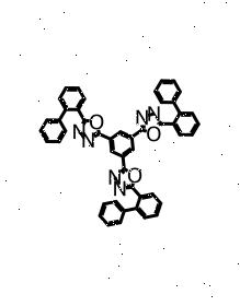 c1ccc(-c2ccccc2-c2nnc(-c3cc(-c4nnc(-c5ccccc5-c5ccccc5)o4)cc(-c4nnc(-c5ccccc5-c5ccccc5)o4)c3)o2)cc1